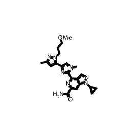 COCCCn1nc(C)cc1-c1cn(C)c(-c2nc(C(N)=O)cc3c2cnn3C2CC2)n1